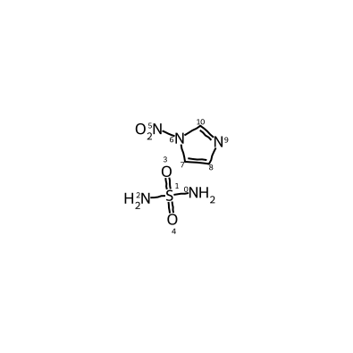 NS(N)(=O)=O.O=[N+]([O-])n1ccnc1